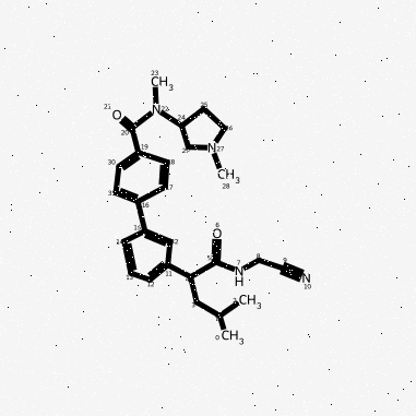 CC(C)CC(C(=O)NCC#N)c1cccc(-c2ccc(C(=O)N(C)C3CCN(C)C3)cc2)c1